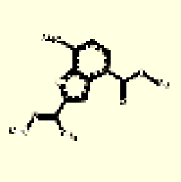 CO/N=C(\C)c1cc2c(C(=O)OC(C)(C)C)ccc(OC)c2o1